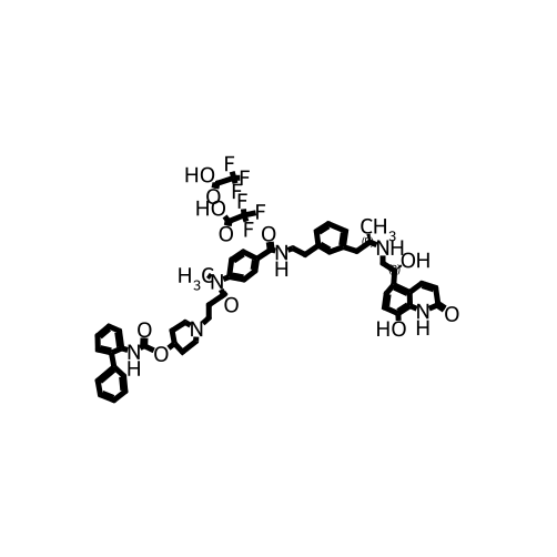 C[C@H](Cc1cccc(CCNC(=O)c2ccc(N(C)C(=O)CCN3CCC(OC(=O)Nc4ccccc4-c4ccccc4)CC3)cc2)c1)NC[C@H](O)c1ccc(O)c2[nH]c(=O)ccc12.O=C(O)C(F)(F)F.O=C(O)C(F)(F)F